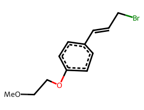 COCCOc1ccc(C=CCBr)cc1